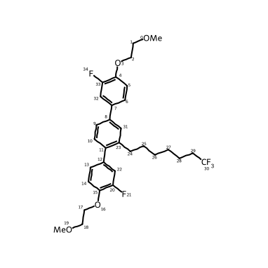 COCCOc1ccc(-c2ccc(-c3ccc(OCCOC)c(F)c3)c(CCCCCCC(F)(F)F)c2)cc1F